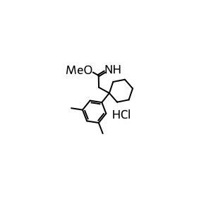 COC(=N)CC1(c2cc(C)cc(C)c2)CCCCC1.Cl